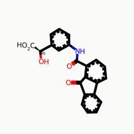 O=C(Nc1cccc([C@@H](O)C(=O)O)c1)c1cccc2c1C(=O)c1ccccc1-2